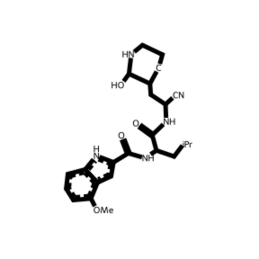 COc1cccc2[nH]c(C(=O)NC(CC(C)C)C(=O)NC(C#N)CC3CCCNC3O)cc12